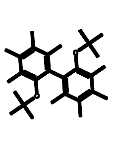 Cc1c(C)c(C)c(-c2c(C)c(C)c(C)c(C)c2OC(C)(C)C)c(OC(C)(C)C)c1C